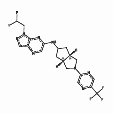 FC(F)Cn1ncc2ncc(NC3C[C@@H]4CN(c5cnc(C(F)(F)F)cn5)C[C@@H]4C3)nc21